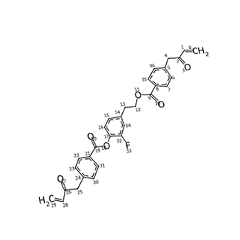 C=CC(=O)Cc1ccc(C(=O)OCCc2ccc(OC(=O)c3ccc(CC(=O)C=C)cc3)c(F)c2)cc1